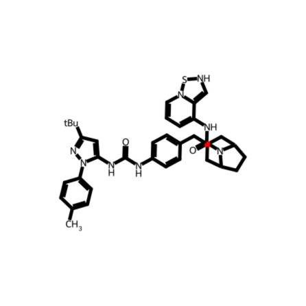 Cc1ccc(-n2nc(C(C)(C)C)cc2NC(=O)Nc2ccc(CC3CC4CCC(C3)N4C(=O)NC3=CC=CN4SNC=C34)cc2)cc1